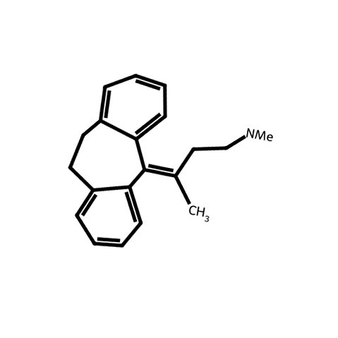 CNCCC(C)=C1c2ccccc2CCc2ccccc21